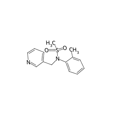 Cc1ccccc1N(Cc1cccnc1)S(C)(=O)=O